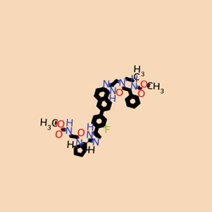 CCCN(Cc1nc2ccc3cc(-c4ccc(-c5cnc([C@@H]6[C@H]7CC[C@H](C7)N6C(=O)CNC(=O)OC)[nH]5)c(F)c4)ccc3c2[nH]1)C(=O)[C@H](NC(=O)OC)c1ccccc1